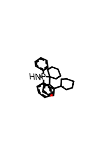 N=P(c1ccccc1)(c1ccccc1)C1(c2ccccc2[C]2CCCCC2)CCCCC1